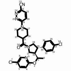 CC(Oc1ccc(Cl)cn1)[C@H]1CN(C(=O)C2CCN(c3ccc(C#N)nn3)CC2)C[C@@H]1c1ccc(Cl)cc1